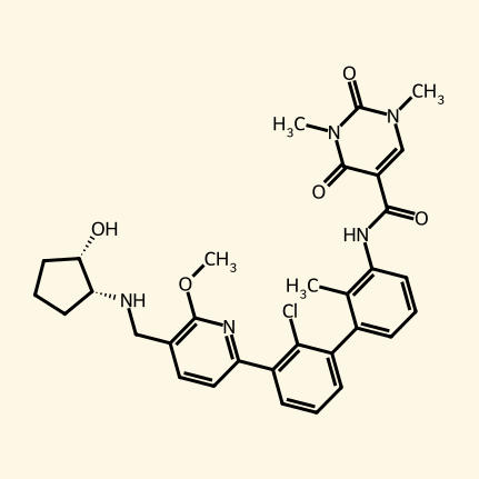 COc1nc(-c2cccc(-c3cccc(NC(=O)c4cn(C)c(=O)n(C)c4=O)c3C)c2Cl)ccc1CN[C@@H]1CCC[C@@H]1O